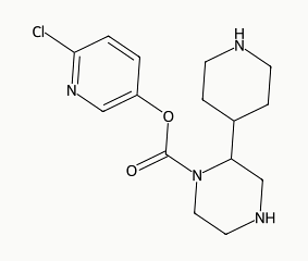 O=C(Oc1ccc(Cl)nc1)N1CCNCC1C1CCNCC1